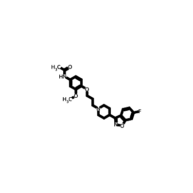 COc1cc(NC(C)=O)ccc1OCCCN1CCC(c2noc3cc(F)ccc23)CC1